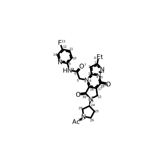 CCc1cc2n(CC(=O)Nc3ccc(F)cn3)c3c(c(=O)n2n1)CN([C@H]1CCN(C(C)=O)C1)C3=O